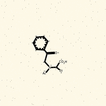 CCC(C(=O)O)N(CC(=O)c1ccccc1)C(C)=O